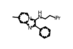 Cc1ccn2c(NCCC(C)C)c(-c3ccccc3)nc2c1